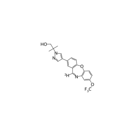 [2H]C1=Nc2cc(OC(F)(F)F)ccc2Oc2ccc(-c3cnn(C(C)(C)CO)c3)cc21